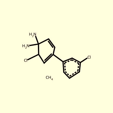 C.NC1(N)C=CC(c2cccc(Cl)c2)=CC1Cl